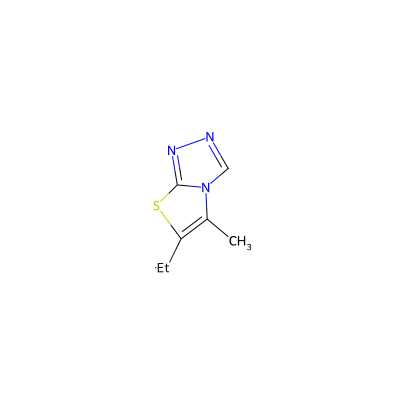 C[CH]c1sc2nncn2c1C